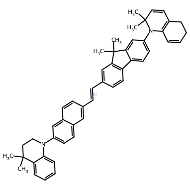 CC1(C)CCN(c2ccc3cc(/C=C/c4ccc5c(c4)C(C)(C)c4cc(N6C7=C(C=CC6(C)C)CCC=C7)ccc4-5)ccc3c2)c2ccccc21